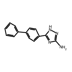 Nc1n[nH]c(-c2ccc(-c3ccccc3)cc2)n1